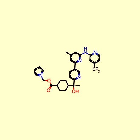 Cc1cc(Nc2cc(C(F)(F)F)ccn2)nc(-c2ccc([C@](C)(O)C3CCC(C(=O)OCn4cccc4)CC3)nc2)c1